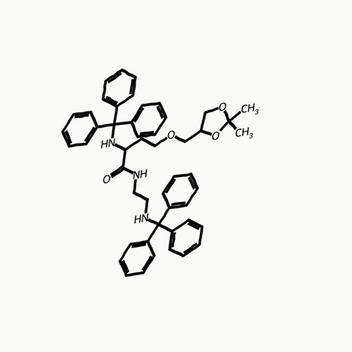 CC1(C)OCC(COCCC(NC(c2ccccc2)(c2ccccc2)c2ccccc2)C(=O)NCCNC(c2ccccc2)(c2ccccc2)c2ccccc2)O1